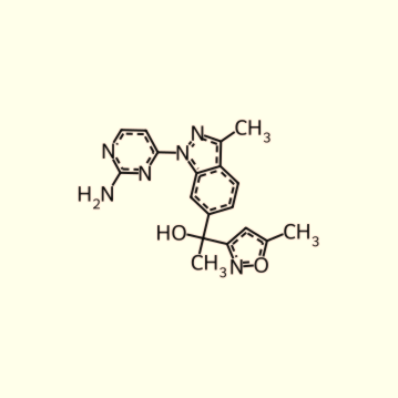 Cc1cc(C(C)(O)c2ccc3c(C)nn(-c4ccnc(N)n4)c3c2)no1